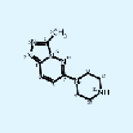 Cc1nnc2ccc(N3CCNCC3)nn12